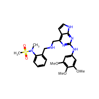 COc1cc(Nc2nc(CNCc3ccccc3N(C)S(C)(=O)=O)c3cc[nH]c3n2)cc(OC)c1OC